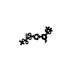 CC(C)(C)OC(=O)NOC(=O)N1CCN(c2cc(F)cc(B3OC(C)(C)C(C)(C)O3)c2)CC1